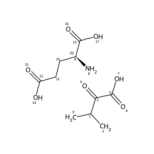 CC(C)C(=O)C(=O)O.N[C@@H](CCC(=O)O)C(=O)O